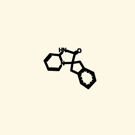 O=C1NC2C=CC=CN2C12Cc1ccccc1C2